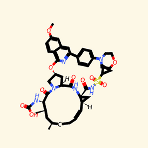 COc1ccc2c(O[C@@H]3C[C@H]4C(=O)N[C@]5(C(=O)NS(=O)(=O)C6CC6)C[C@H]5C=CCC[C@@H](C)C[C@@H](C)[C@H](NC(=O)O)C(=O)N4C3)nc(-c3ccc(N4CCOCC4)cc3)cc2c1